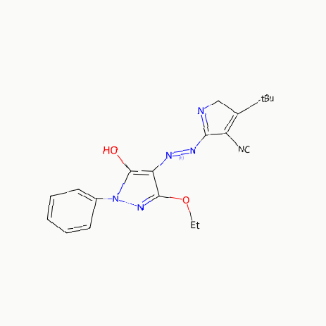 [C-]#[N+]C1=C(C(C)(C)C)CN=C1/N=N/c1c(OCC)nn(-c2ccccc2)c1O